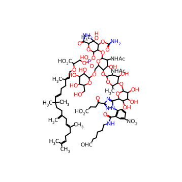 C=C(C/C=C(\C)CCC=C(C)C)CCC(C)(C)/C=C/CC/C(C)=C/COC(COP(=O)(O)OC1OC(C(N)=O)C(C)(O)C(OC(N)=O)C1OC1OC(COC2OC(CO)C(O)C(O)C2O)C(OC2OC(C)C(OC3OC(c4nc(C(=O)CCC(=O)O)nn4-c4ccc([N+](=O)[O-])cc4C(=O)NCCCCCC=O)C(O)C(O)C3O)C(O)C2NC(C)=O)C(O)C1NC(C)=O)C(=O)O